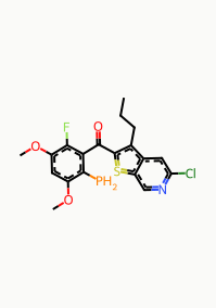 CCCc1c(C(=O)c2c(F)c(OC)cc(OC)c2P)sc2cnc(Cl)cc12